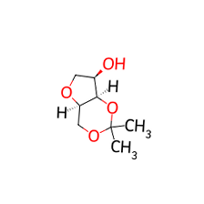 CC1(C)OC[C@H]2OC[C@@H](O)[C@H]2O1